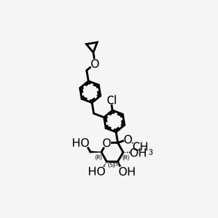 COC1(c2ccc(Cl)c(Cc3ccc(COC4CC4)cc3)c2)O[C@H](CO)[C@@H](O)[C@H](O)[C@H]1O